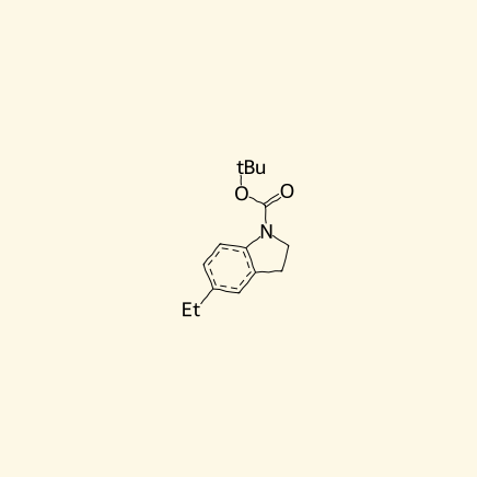 CCc1ccc2c(c1)CCN2C(=O)OC(C)(C)C